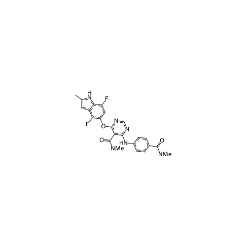 CNC(=O)c1ccc(Nc2ncnc(Oc3cc(F)c4[nH]c(C)cc4c3F)c2C(=O)NC)cc1